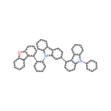 c1ccc(-n2c3ccccc3c3c(-c4ccc5c6ccccc6n(-c6ccccc6-c6cccc7oc8ccccc8c67)c5c4)cccc32)cc1